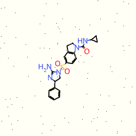 NC1=NC(c2ccccc2)CN1S(=O)(=O)c1ccc2c(c1)CCN2C(=O)NC1CC1